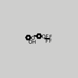 Oc1ccccc1OCc1ccc(OCC(F)(F)C(F)F)cc1